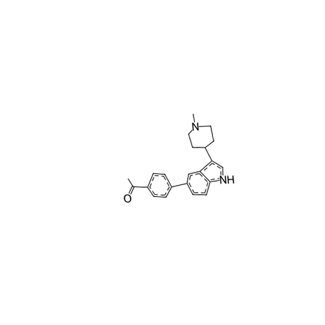 CC(=O)c1ccc(-c2ccc3[nH]cc(C4CCN(C)CC4)c3c2)cc1